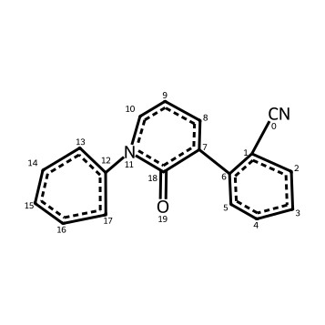 N#Cc1ccccc1-c1cccn(-c2ccccc2)c1=O